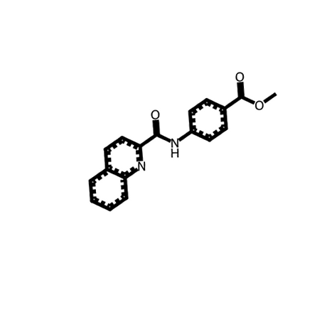 COC(=O)c1ccc(NC(=O)c2ccc3ccccc3n2)cc1